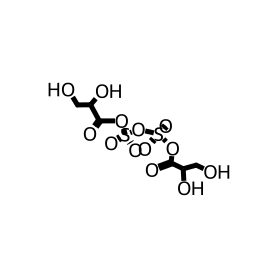 O=C(OS(=O)(=O)OS(=O)(=O)OC(=O)C(O)CO)C(O)CO